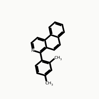 Cc1ccc(-c2nccc3c2ccc2ccccc23)c(C)c1